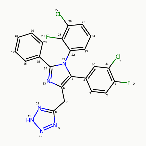 Fc1ccc(-c2c(Cc3nn[nH]n3)nc(-c3ccccc3)n2-c2cccc(Cl)c2F)cc1Cl